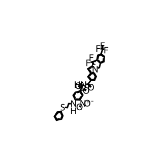 O=C(NS(=O)(=O)c1ccc(NCCSc2ccccc2)c([N+](=O)[O-])c1)c1ccc2c(ccn2Cc2ccc(C(F)(F)F)cc2C(F)(F)F)c1